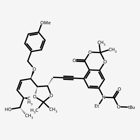 CCN(C(=O)OC(C)(C)C)c1cc(C#CC[C@@H]2OC(C)(C)O[C@@H]2[C@@H](/C=C\[C@@H](C)[C@H](C)O)OCc2ccc(OC)cc2)c2c(c1)OC(C)(C)OC2=O